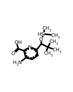 C[SiH](C)OC(c1ccc(N)c(C(=O)O)n1)C(C)(C)C